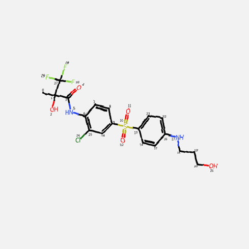 CC(O)(C(=O)Nc1ccc(S(=O)(=O)c2ccc(NCCCO)cc2)cc1Cl)C(F)(F)F